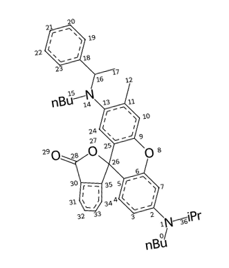 CCCCN(c1ccc2c(c1)Oc1cc(C)c(N(CCCC)C(C)c3ccccc3)cc1C21OC(=O)c2ccccc21)C(C)C